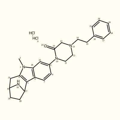 Cl.Cl.Cn1c2c(c3ccc(N4CCN(CCc5ccccc5)CC4=O)cc31)C1CCC(C2)N1